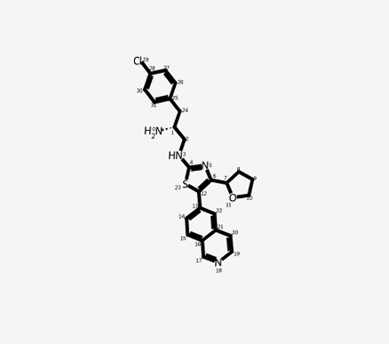 N[C@@H](CNc1nc(C2CCCO2)c(-c2ccc3cnccc3c2)s1)Cc1ccc(Cl)cc1